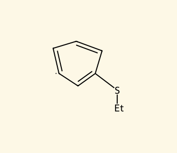 CCSc1c[c]ccc1